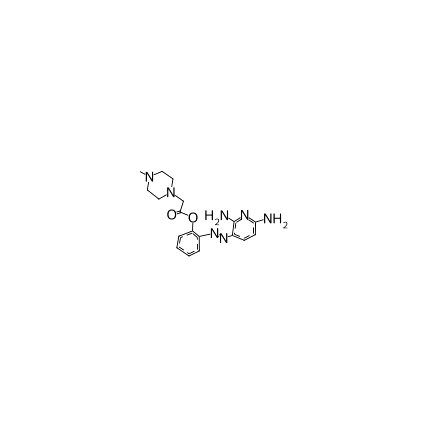 CN1CCN(CC(=O)Oc2ccccc2/N=N/c2ccc(N)nc2N)CC1